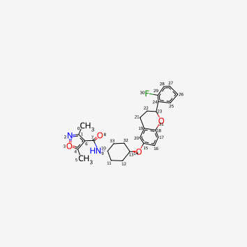 Cc1noc(C)c1C(=O)N[C@H]1CC[C@H](Oc2ccc3c(c2)CCC(c2ccccc2F)O3)CC1